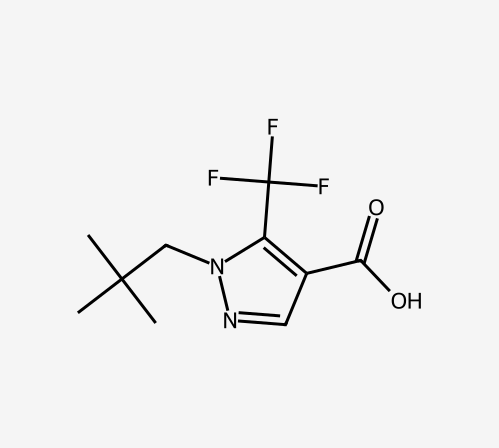 CC(C)(C)Cn1ncc(C(=O)O)c1C(F)(F)F